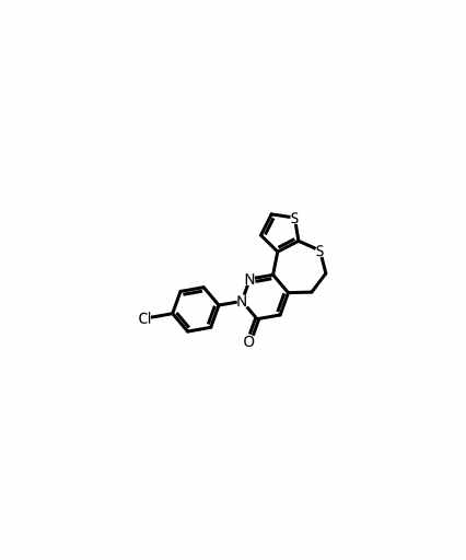 O=c1cc2c(nn1-c1ccc(Cl)cc1)-c1ccsc1SCC2